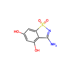 NC1=NS(=O)(=O)c2cc(O)cc(O)c21